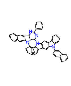 c1ccc(-c2nc(-n3c4ccccc4c4cc5c(cc43)c3ccccc3n5-c3ccc4ccccc4c3)c3c(n2)c2cc4ccccc4cc2n3-c2ccccc2)cc1